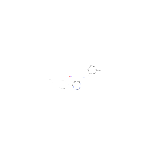 CCCC1CCN(c2ncnc(NCc3cc(C)cc(OC)c3)c2[N+](=O)[O-])CC1